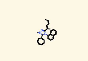 C/C=C\C=C(/C)C1=NN(C)C(C2=CC=C=C=C=C2)N1c1cccc2ccccc12